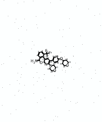 NC(=O)c1cccc(C(F)(F)F)c1-c1cnc(N2CCOCC2)c(-c2ccc(OC3CCOCC3)nc2)c1